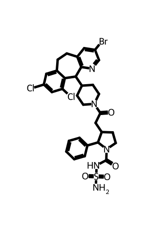 NS(=O)(=O)NC(=O)N1CCC(CC(=O)N2CCC(C3c4ncc(Br)cc4CCc4cc(Cl)cc(Cl)c43)CC2)C1c1ccccc1